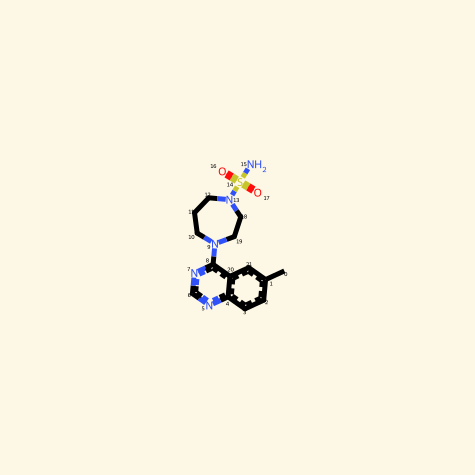 Cc1ccc2ncnc(N3CCCN(S(N)(=O)=O)CC3)c2c1